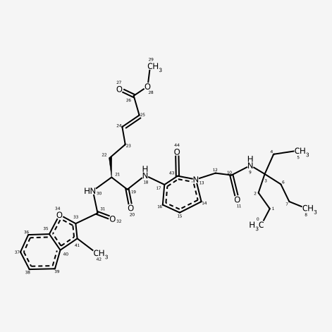 CCCC(CC)(CCC)NC(=O)Cn1cccc(NC(=O)[C@H](CC/C=C/C(=O)OC)NC(=O)c2oc3ccccc3c2C)c1=O